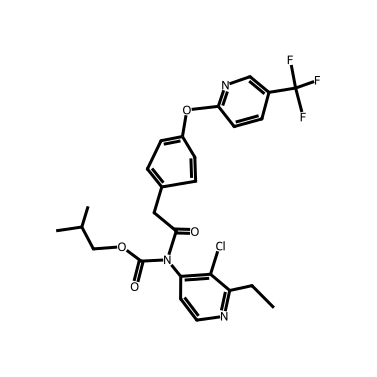 CCc1nccc(N(C(=O)Cc2ccc(Oc3ccc(C(F)(F)F)cn3)cc2)C(=O)OCC(C)C)c1Cl